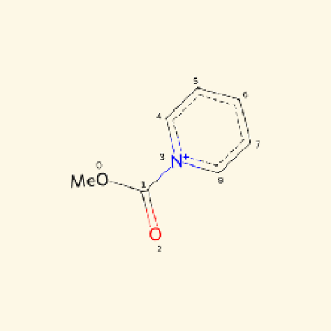 COC(=O)[n+]1ccccc1